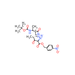 CC(C(=O)C(=[N+]=[N-])C(=O)OCc1ccc([N+](=O)[O-])cc1)[C@H]1NC(=O)[C@@H]1C(C)NC(=O)OC(C)(C)C